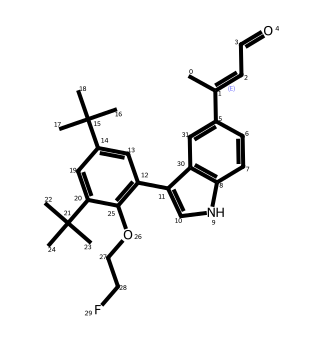 C/C(=C\C=O)c1ccc2[nH]cc(-c3cc(C(C)(C)C)cc(C(C)(C)C)c3OCCF)c2c1